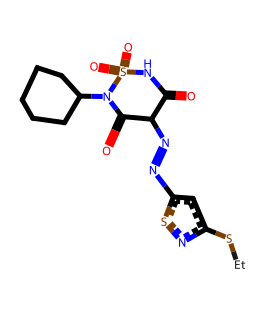 CCSc1cc(N=NC2C(=O)NS(=O)(=O)N(C3CCCCC3)C2=O)sn1